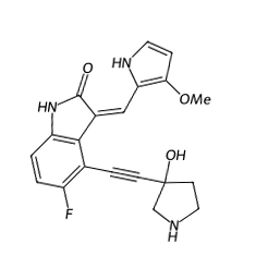 COc1cc[nH]c1C=C1C(=O)Nc2ccc(F)c(C#CC3(O)CCNC3)c21